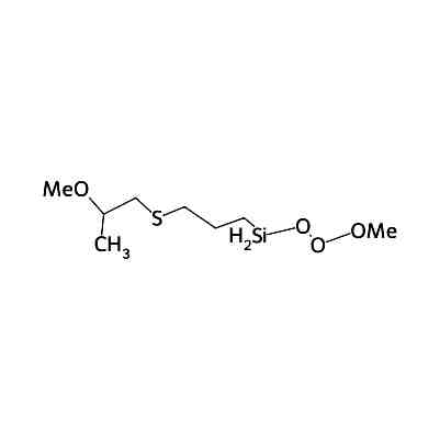 COOO[SiH2]CCCSCC(C)OC